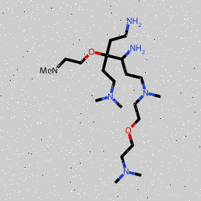 CNCCOC(CCN)(CCN(C)C)C(N)CCN(C)CCOCCN(C)C